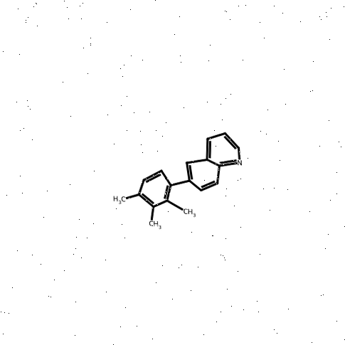 Cc1ccc(-c2ccc3ncccc3c2)c(C)c1C